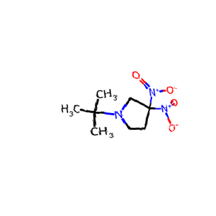 CC(C)(C)N1CCC([N+](=O)[O-])([N+](=O)[O-])C1